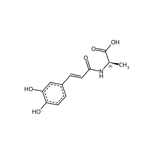 C[C@@H](NC(=O)C=Cc1ccc(O)c(O)c1)C(=O)O